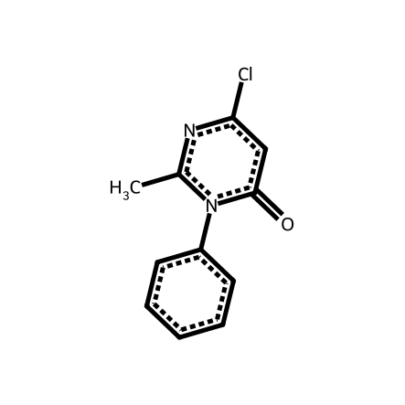 Cc1nc(Cl)cc(=O)n1-c1ccccc1